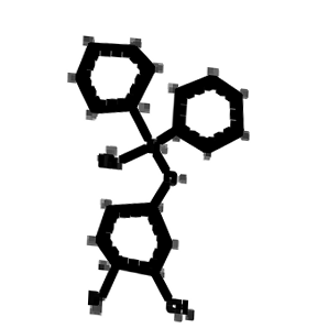 Cc1cc(O[Si](c2ccccc2)(c2ccccc2)C(C)(C)C)ccc1Br